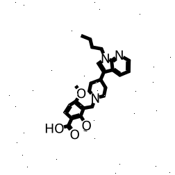 CCCCn1cc(C2CCN(Cc3c(OC)ccc(C(=O)O)c3OC)CC2)c2cccnc21